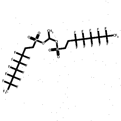 CC(OS(=O)(=O)CCC(F)(F)C(F)(F)C(F)(F)C(F)(F)C(F)(F)C(F)(F)F)OS(=O)(=O)CCC(F)(F)C(F)(F)C(F)(F)C(F)(F)C(F)(F)C(F)(F)F